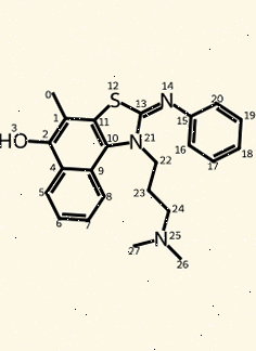 Cc1c(O)c2ccccc2c2c1s/c(=N/c1ccccc1)n2CCCN(C)C